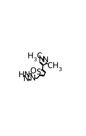 Cc1nn(C)cc1-c1ccc(Cn2cn[nH]c2=O)s1